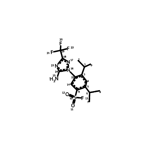 CC(C)c1cc(C(C)C)c(S(=O)(=O)F)cc1-n1nc(C(F)(F)F)nc1N